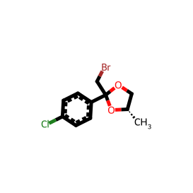 C[C@H]1COC(CBr)(c2ccc(Cl)cc2)O1